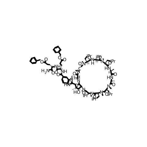 CC[C@@H]1NC(=O)[C@H]([C@H](O)[C@H](C)Cc2nc3cc(C(=O)N[C@@H](CCC(=O)OCc4ccccc4)C(=O)N[C@@H](CCC(=O)OCc4ccccc4)C(N)=O)ccc3[nH]2)N(C)C(=O)[C@H](C(C)C)N(C)C(=O)[C@H](CC(C)C)N(C)C(=O)[C@H](CC(C)C)N(C)C(=O)[C@@H](C)NC(=O)[C@H](C)NC(=O)[C@H](CC(C)C)N(C)C(=O)[C@H](C(C)C)NC(=O)[C@H](CC(C)C)N(C)C(=O)CN(C)C1=O